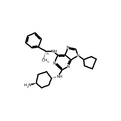 C[C@@H](Nc1nc(N[C@H]2CC[C@H](N)CC2)nc2c1ncn2C1CCCC1)c1ccccc1